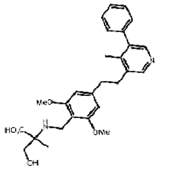 COc1cc(CCc2cncc(-c3ccccc3)c2C)cc(OC)c1CNC(C)(CO)C(=O)O